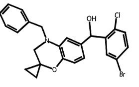 OC(c1ccc2c(c1)N(Cc1ccccc1)CC1(CC1)O2)c1cc(Br)ccc1Cl